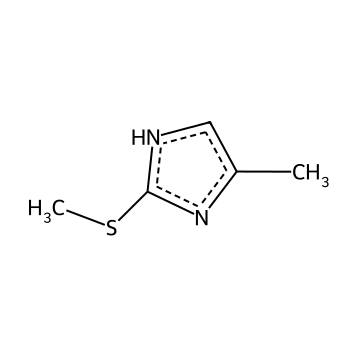 CSc1nc(C)c[nH]1